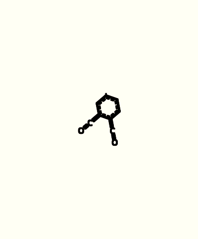 O=C=c1c[c]ccc1=C=O